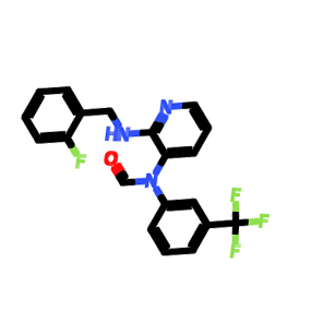 O=CN(c1cccc(C(F)(F)F)c1)c1cccnc1NCc1ccccc1F